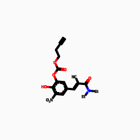 C#CCCOC(=O)Oc1cc(/C=C(\C#N)C(=O)N(CC)CC)cc([N+](=O)[O-])c1O